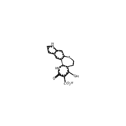 O=C(O)c1c(O)c2c([nH]c1=O)-c1cc3cc[nH]c3cc1SCC2